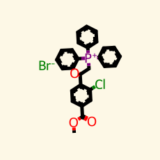 COC(=O)c1ccc(C(=O)C[P+](c2ccccc2)(c2ccccc2)c2ccccc2)c(Cl)c1.[Br-]